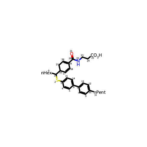 CCCCCCC(Sc1ccc(-c2ccc(CCCCC)cc2)cc1)C1C=CC(C(=O)NCCC(=O)O)=CC1